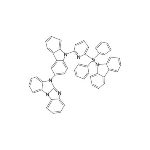 c1ccc([Si](c2ccccc2)(c2cccc(-n3c4ccccc4c4cc(-n5c6ccccc6n6c7ccccc7nc56)ccc43)n2)n2c3ccccc3c3ccccc32)cc1